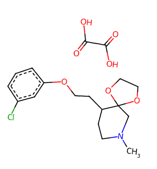 CN1CCC(CCOc2cccc(Cl)c2)C2(C1)OCCO2.O=C(O)C(=O)O